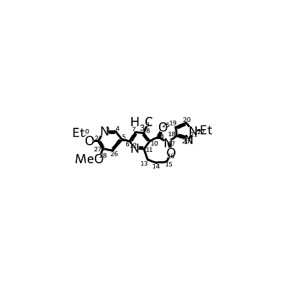 CCOc1ncc(-c2cc(C)c3c(n2)CCCON(c2ccn(CC)n2)C3=O)cc1OC